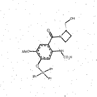 COc1cc(C(=O)N2CC[C@H]2CO)c(NC(=O)O)cc1O[Si](C(C)C)(C(C)C)C(C)C